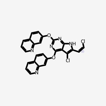 Cl/C=C\c1[nH]c2nc(Oc3ccc4cccnc4c3)nc(Oc3ccc4cccnc4c3)c2c1Cl